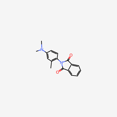 Cc1cc(N(C)C)ccc1N1C(=O)c2ccccc2C1=O